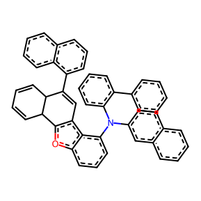 C1=CC2C(c3cccc4ccccc34)=Cc3c(oc4cccc(N(c5ccc6ccccc6c5)c5ccccc5-c5ccccc5)c34)C2C=C1